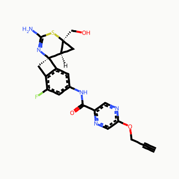 C#CCOc1cnc(C(=O)Nc2cc(F)c3c(c2)[C@@]2(C3)N=C(N)S[C@@]3(CO)C[C@H]32)cn1